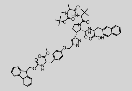 COC(=O)[C@H](Cc1ccc(OCc2cn([C@@H]3CCN(C(=O)[C@@H](NC(=O)[C@H](C)N(C)C(=O)OC(C)(C)C)C(C)(C)C)[C@@H]3C(=O)N[C@@H](Cc3ccc4ccccc4c3)C(=O)O)nn2)cc1)NC(=O)OCC1c2ccccc2-c2ccccc21